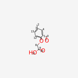 C=O.Cc1ccc(OCC(=O)O)cc1